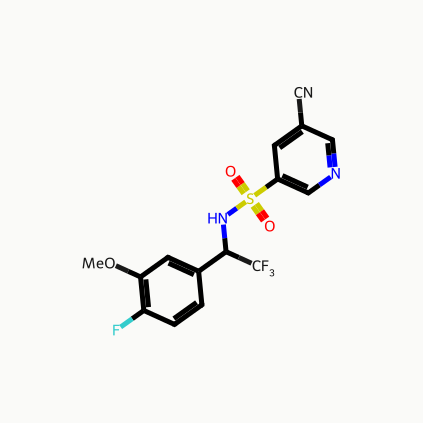 COc1cc(C(NS(=O)(=O)c2cncc(C#N)c2)C(F)(F)F)ccc1F